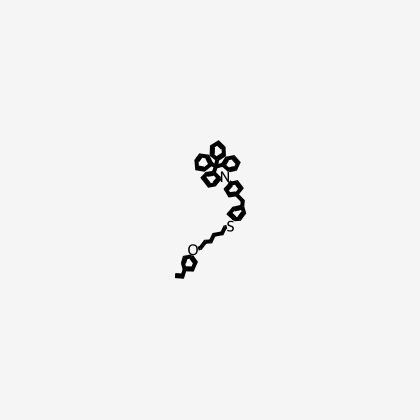 C=Cc1ccc(OCCCCCCSc2ccc(Cc3ccc(N4c5ccccc5C(c5ccccc5)(c5ccccc5)c5ccccc54)cc3)cc2)cc1